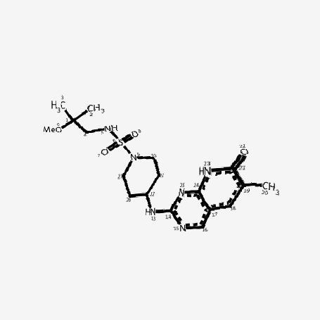 COC(C)(C)CNS(=O)(=O)N1CCC(Nc2ncc3cc(C)c(=O)[nH]c3n2)CC1